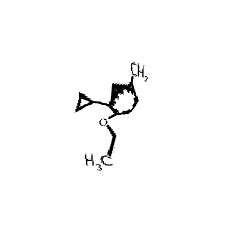 [CH2]c1ccc(OCC)c(C2CC2)c1